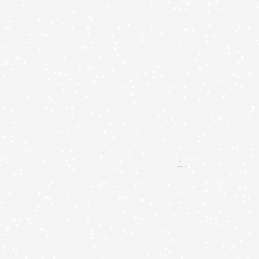 CC(=O)CCC1=CCCC=C1